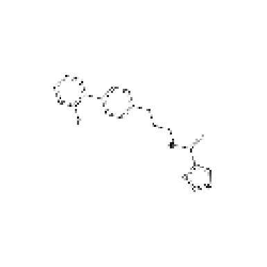 O=C(NCCCc1ccc(-c2ccccc2F)cc1)c1cnco1